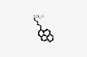 O=S(=O)(O)CCCCc1ccc2ccc3cccc4ccc1c2c34